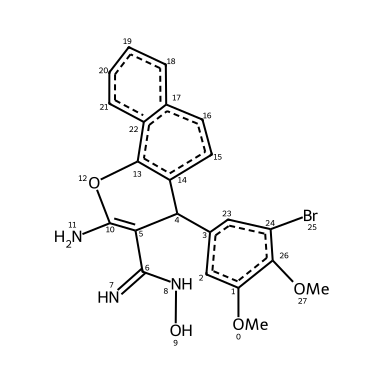 COc1cc(C2C(C(=N)NO)=C(N)Oc3c2ccc2ccccc32)cc(Br)c1OC